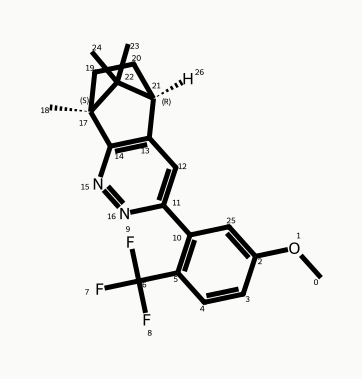 COc1ccc(C(F)(F)F)c(-c2cc3c(nn2)[C@@]2(C)CC[C@@H]3C2(C)C)c1